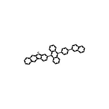 c1ccc2cc(-c3ccc(-c4c5ccccc5c(-c5ccc6c(c5)sc5cc7ccccc7cc56)c5ccccc45)cc3)ccc2c1